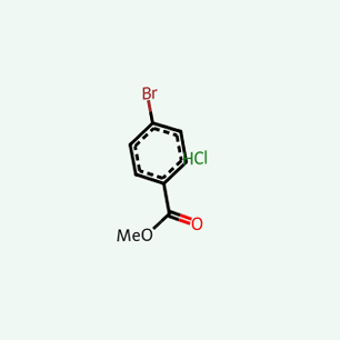 COC(=O)c1ccc(Br)cc1.Cl